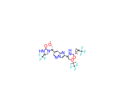 COC[C@H](c1cnn2cc([C@H](COC(C)(C)C(F)(F)F)NC(=O)[C@@H]3C[C@H]3C(F)(F)F)nc2c1)N1C[C@@H](C(F)(F)F)NC1=O